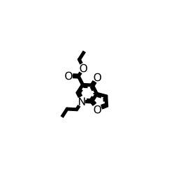 CCCn1cc(C(=O)OCC)c(=O)c2ccoc21